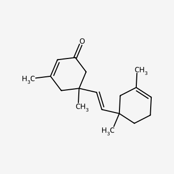 CC1=CCCC(C)(C=CC2(C)CC(=O)C=C(C)C2)C1